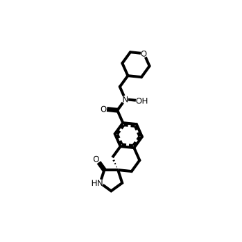 O=C(c1ccc2c(c1)C[C@@]1(CCNC1=O)CC2)N(O)CC1CCOCC1